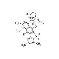 Cc1cc(N)nc(-c2nc3c4c(nc(C)c(C)c4c2F)N2C[C@H]4CC[C@H](N4)[C@H]2[C@H](C)O3)c1C(F)(F)F